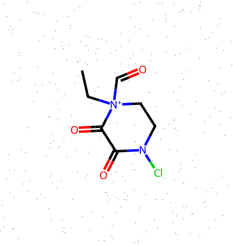 CC[N+]1(C=O)CCN(Cl)C(=O)C1=O